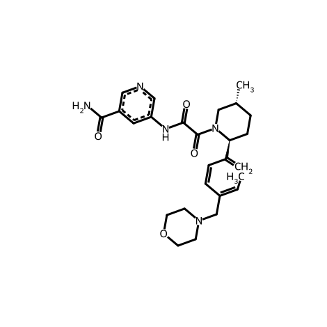 C=C(/C=C\C(=C/C)CN1CCOCC1)[C@@H]1CC[C@@H](C)CN1C(=O)C(=O)Nc1cncc(C(N)=O)c1